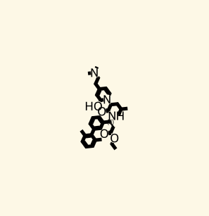 CCOC(=O)C[C@H](NC(=O)C(CC(C)C)N1C=CC(CCN(C)C)=CC1O)c1cccc(-c2c(C)cccc2C)c1